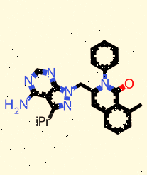 Cc1cccc2cc(Cn3nc(C(C)C)c4c(N)ncnc43)n(-c3ccccc3)c(=O)c12